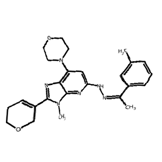 CC(=NNc1cc(N2CCOCC2)c2nc(C3=CCCOC3)n(C)c2n1)c1cccc(C)c1